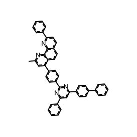 Cc1cc(-c2ccc(-c3nc(-c4ccccc4)cc(-c4ccc(-c5ccccc5)cc4)n3)cc2)c2ccc3ccc(-c4ccccc4)nc3c2n1